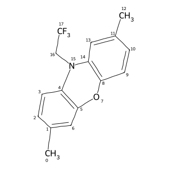 Cc1ccc2c(c1)Oc1ccc(C)cc1N2CC(F)(F)F